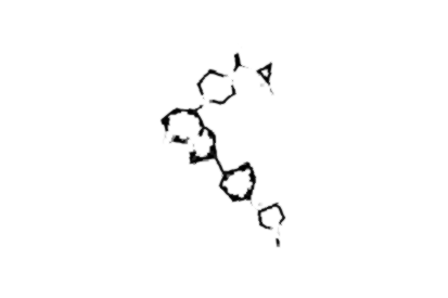 CCN1CC[C@H](c2ccc(-c3cc4c(N5CCN(C(=O)[C@H]6C[C@H]6F)CC5)ccnn4c3)cc2)C1